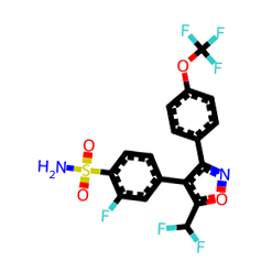 NS(=O)(=O)c1ccc(-c2c(-c3ccc(OC(F)(F)F)cc3)noc2C(F)F)cc1F